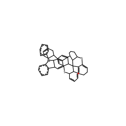 C1=CC2SC3C=C(C4CC=CCN4)C=CC3C3(C4=CCCC=C4SC4CCCC(C5=CC6C(C=C5)c5ccccc5N6c5ccccc5)C43)C2C=C1